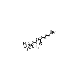 C[Si](C)(C)CCOC(=O)CCCCCBr